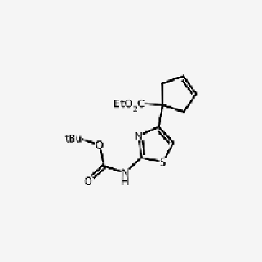 CCOC(=O)C1(c2csc(NC(=O)OC(C)(C)C)n2)CC=CC1